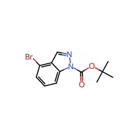 CC(C)(C)OC(=O)n1ncc2c(Br)cccc21